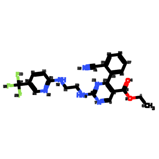 CCOC(=O)c1cnc(NCCNc2ccc(C(F)(F)F)cn2)nc1-c1ccccc1C#N